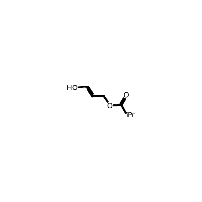 CC(C)C(=O)OCC=CO